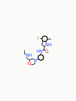 CCNCC1CN(c2cccc(NC(=O)C3Cc4c(F)ccc(C)c4N3)c2)CCO1